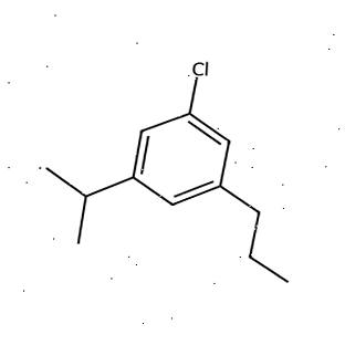 [CH2]C(C)c1cc(Cl)cc(CCC)c1